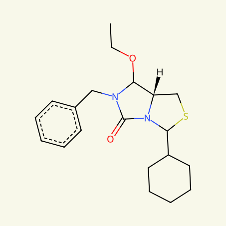 CCOC1[C@@H]2CSC(C3CCCCC3)N2C(=O)N1Cc1ccccc1